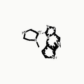 CN1CCNC[C@@H]1c1nnc2cnc3[nH]ccc3n12